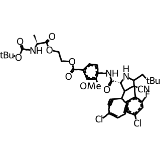 COc1cc(C(=O)OCCOC(=O)[C@H](C)NC(=O)OC(C)(C)C)ccc1NC(=O)[C@@H]1NC(CC(C)(C)C)[C@](C#N)(c2ccc(Cl)cc2F)C1C1C#CC(Cl)=CC=C1